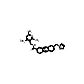 CCOc1cc(N)nc(C)c1CNC(=O)c1ccc2c(c1)c1oc2c2ccc(Cn3cccn3)cc21